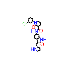 O=C1Nc2cc(NC(=O)c3cccn(-c4cccc(Cl)c4)c3=O)ccc2/C1=C/c1ccc[nH]1